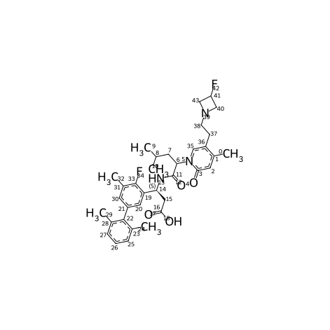 Cc1cc(=O)n(C(CC(C)C)C(=O)N[C@@H](CC(=O)O)c2cc(-c3c(C)cccc3C)cc(C)c2F)cc1CCN1CC(F)C1